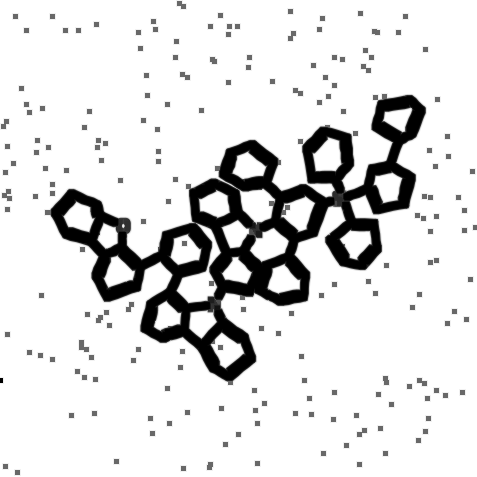 c1ccc(-c2cccc([Si](c3ccccc3)(c3ccccc3)c3cc(-c4ccccc4)c(-n4c5ccccc5c5cc(-n6c7ccccc7c7cccc(-c8ccccc8-c8cccc9c8oc8ccccc89)c76)ccc54)c(-c4ccccc4)c3)c2)cc1